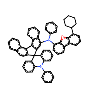 c1ccc(N2c3ccccc3C3(c4ccccc42)c2ccc4ccccc4c2-c2c3cc(N(c3ccccc3)c3cccc4c3oc3c(C5CCCCC5)cccc34)c3ccccc23)cc1